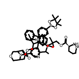 CCn1c(-c2cc(C3=CC4COCC(C3)N4C(=O)OCC3c4ccccc4-c4ccccc43)cnc2C(C)OC)c(CC(C)(C)COC(=O)[C@@H]2CCCNN2)c2cc(B3OC(C)(C)C(C)(C)O3)ccc21